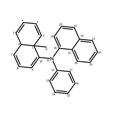 CC12C=CC=CC1C=CC=C2N(c1ccccc1)c1cccc2ccccc12